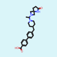 CC(N1CCC(Cc2ccc(-c3ccc(C(=O)O)cc3)cc2)CC1)N1CC2(CCC(=O)N2)C1